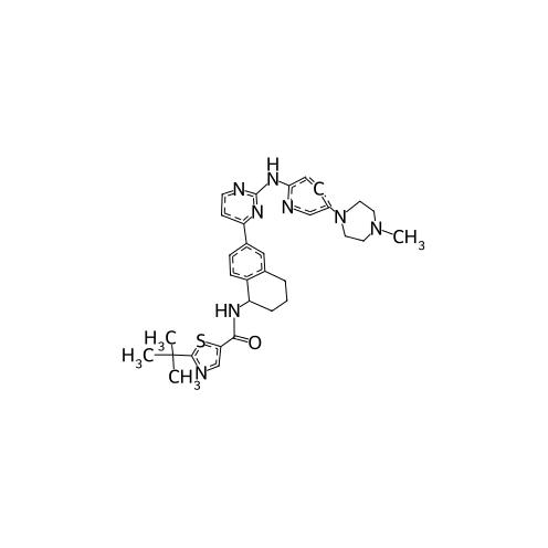 CN1CCN(c2ccc(Nc3nccc(-c4ccc5c(c4)CCCC5NC(=O)c4cnc(C(C)(C)C)s4)n3)nc2)CC1